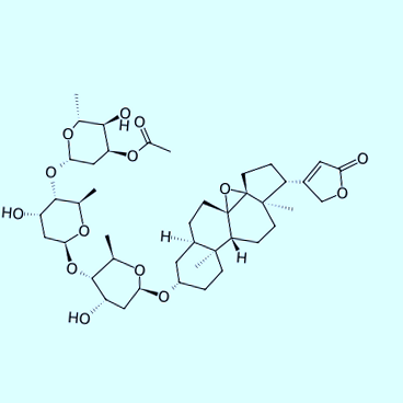 CC(=O)O[C@H]1C[C@H](O[C@H]2[C@@H](O)C[C@H](O[C@H]3[C@@H](O)C[C@H](O[C@H]4CC[C@@]5(C)[C@H](CC[C@@]67O[C@@]68CC[C@H](C6=CC(=O)OC6)[C@@]8(C)CC[C@H]57)C4)O[C@@H]3C)O[C@@H]2C)O[C@H](C)[C@H]1O